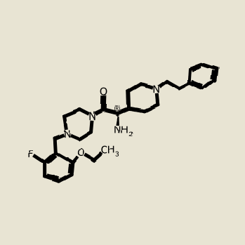 CCOc1cccc(F)c1CN1CCN(C(=O)[C@H](N)C2CCN(CCc3ccccc3)CC2)CC1